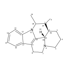 CC[C@]12CCCN3CCc4c(n(c5ccccc45)C(C)C1)[C@@H]32